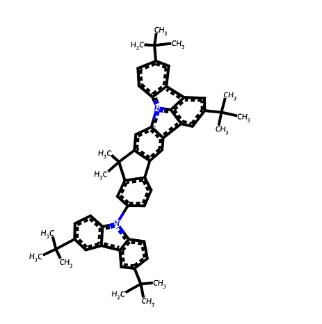 CC(C)(C)c1ccc2c(c1)c1cc(C(C)(C)C)ccc1n2-c1ccc2c(c1)C(C)(C)c1cc3c(cc1-2)c1cc(C(C)(C)C)cc2c4cc(C(C)(C)C)ccc4n3c21